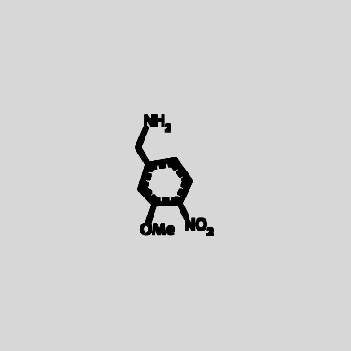 COc1cc(CN)ccc1[N+](=O)[O-]